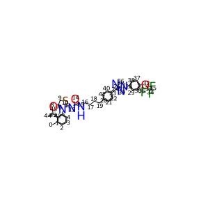 Cc1cccc(N2C(=O)CS/C2=N\C(=O)NCCCCc2ccc(-c3ncn(-c4ccc(OC(F)(F)F)cc4)n3)cc2)c1C(C)C